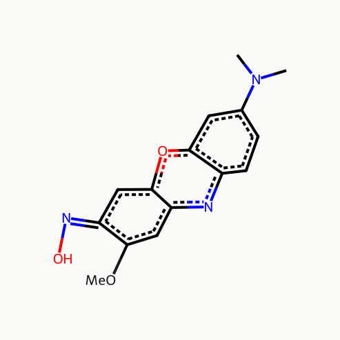 COc1cc2nc3ccc(N(C)C)cc3oc-2c/c1=N/O